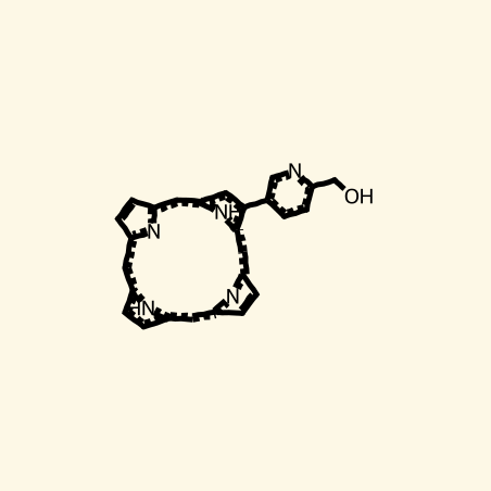 OCc1ccc(-c2cc3cc4nc(cc5ccc(cc6nc(cc2[nH]3)C=C6)[nH]5)C=C4)cn1